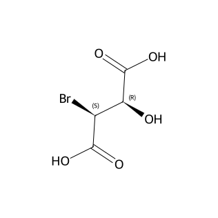 O=C(O)[C@@H](O)[C@H](Br)C(=O)O